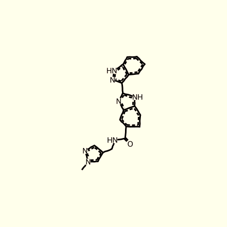 Cn1cc(CNC(=O)c2ccc3[nH]c(-c4n[nH]c5ccccc45)nc3c2)cn1